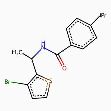 CC(C)c1ccc(C(=O)NC(C)c2sccc2Br)cc1